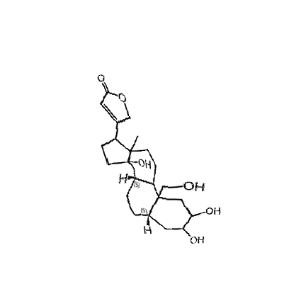 CC12CCC3[C@H](CC[C@H]4CC(O)C(O)CC34CO)C1(O)CCC2C1=CC(=O)OC1